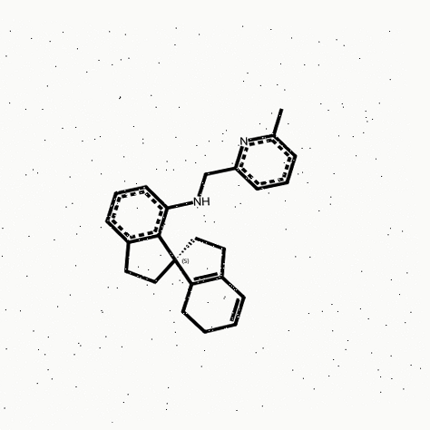 Cc1cccc(CNc2cccc3c2[C@]2(CCC4=C2CCC=C4)CC3)n1